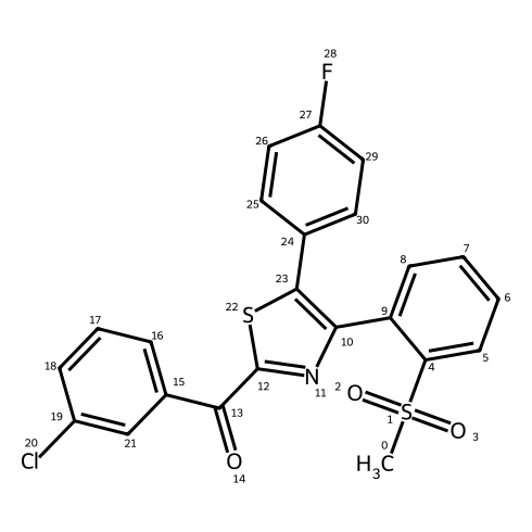 CS(=O)(=O)c1ccccc1-c1nc(C(=O)c2cccc(Cl)c2)sc1-c1ccc(F)cc1